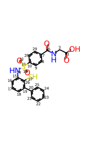 O=C(O)CNC(=O)c1ccc(S(=O)(=O)Nc2cccc(-c3ccccc3)c2S)cc1